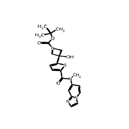 CN(C(=O)c1ccc(C2(O)CN(C(=O)OC(C)(C)C)C2)s1)c1ccn2ccnc2c1